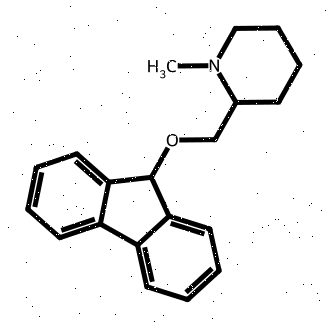 CN1CCCCC1COC1c2ccccc2-c2ccccc21